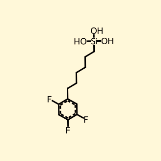 O[Si](O)(O)CCCCCCc1cc(F)c(F)cc1F